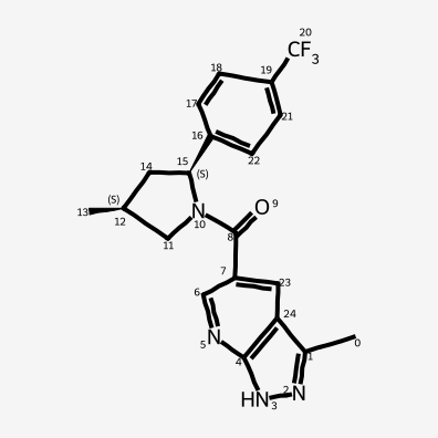 Cc1n[nH]c2ncc(C(=O)N3C[C@@H](C)C[C@H]3c3ccc(C(F)(F)F)cc3)cc12